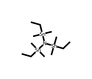 C[CH2][Sn]([CH3])([CH3])[N]([Sn]([CH3])([CH3])[CH2]C)[Sn]([CH3])([CH3])[CH2]C